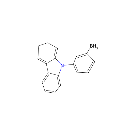 Bc1cccc(-n2c3c(c4ccccc42)=CCCC=3)c1